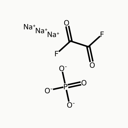 O=C(F)C(=O)F.O=P([O-])([O-])[O-].[Na+].[Na+].[Na+]